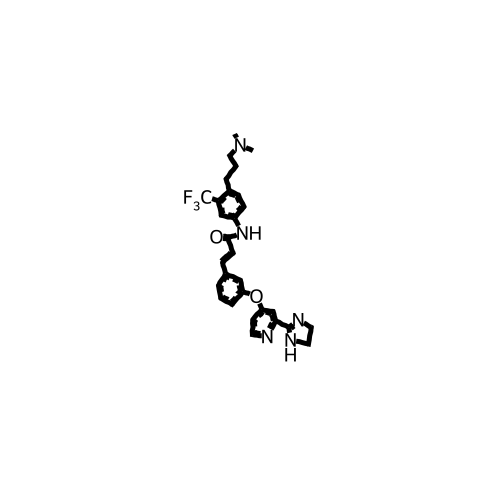 CN(C)CCCc1ccc(NC(=O)C=Cc2cccc(Oc3ccnc(C4=NCCN4)c3)c2)cc1C(F)(F)F